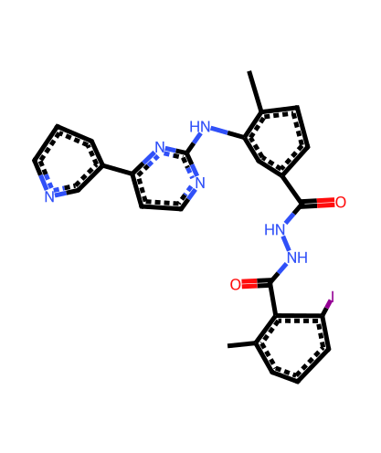 Cc1ccc(C(=O)NNC(=O)c2c(C)cccc2I)cc1Nc1nccc(-c2cccnc2)n1